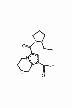 CCC1CCCN1C(=O)c1cc(C(=O)O)c2n1CCOC2